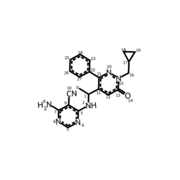 CC(Nc1ncnc(N)c1C#N)c1cc(=O)n(CC2CC2)nc1-c1ccccc1